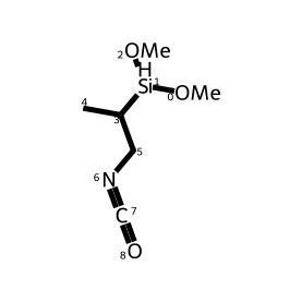 CO[SiH](OC)C(C)CN=C=O